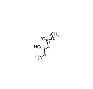 CO[PH](=O)C[C@@H](O)CN